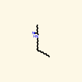 CCCCCCCC/C=C\CCCCCCCNCC(C#N)CCCCC